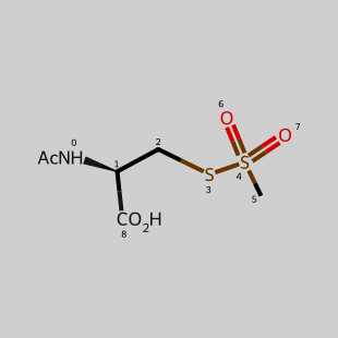 CC(=O)N[C@@H](CSS(C)(=O)=O)C(=O)O